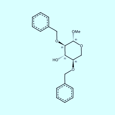 CO[C@@H]1OC[C@@H](OCc2ccccc2)[C@H](O)[C@H]1OCc1ccccc1